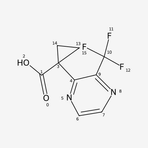 O=C(O)C1(c2nccnc2C(F)(F)F)CC1